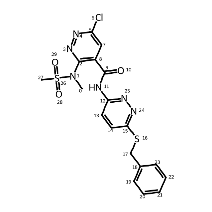 CN(c1nnc(Cl)cc1C(=O)Nc1ccc(SCc2ccccc2)nn1)S(C)(=O)=O